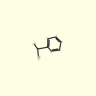 [C]C(Cl)c1ccccc1